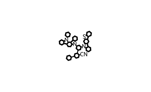 N#Cc1ccc(-c2ccccc2)cc1-c1cc(-n2c3ccccc3c3cc4c(cc32)sc2ccccc24)cc(-n2c3ccccc3c3c2ccc2c4ccccc4n(-c4ccccc4)c23)c1